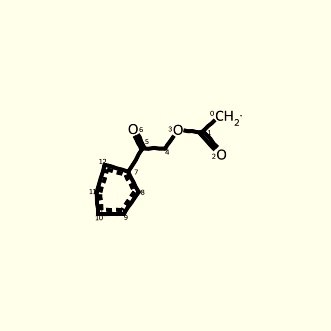 [CH2]C(=O)OCC(=O)c1ccccc1